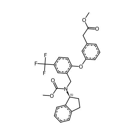 COC(=O)Cc1cccc(Oc2ccc(C(F)(F)F)cc2CN(C(=O)OC)[C@H]2CCc3ccccc32)c1